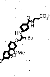 CCCC[C@@H](COc1ccc(-c2ccc(Cl)cc2Cl)c(OC)c1)Nc1ccc(C(=O)NCCC(=O)O)cc1